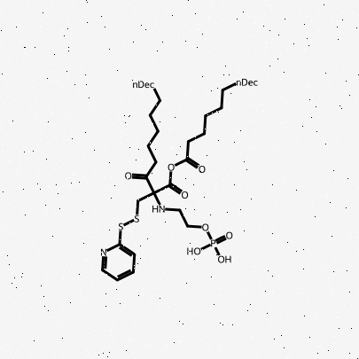 CCCCCCCCCCCCCCCC(=O)OC(=O)C(CSSc1ccccn1)(NCCOP(=O)(O)O)C(=O)CCCCCCCCCCCCCCC